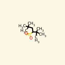 CC(C)(C)CC([SH](=O)=O)C(C)(C)C